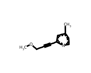 COCC#Cc1cc(C)ccn1